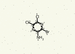 Nc1nc(Cl)c(Cl)nc1Br